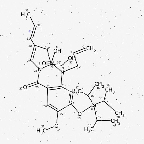 C=CCN(C(=O)O)c1cc(O[Si](C(C)C)(C(C)C)C(C)C)c(OC)cc1C(=O)N1C=C(/C=C/C)CC1CO